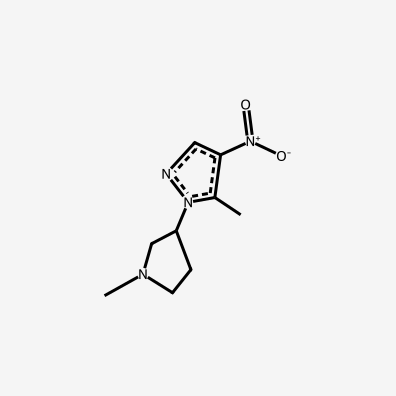 Cc1c([N+](=O)[O-])cnn1C1CCN(C)C1